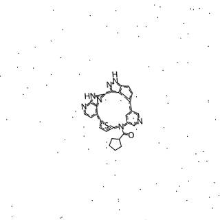 O=C(C1CCCC1)n1c2cncc(c2)c2ccc3[nH]nc(c4nc5c(nccc5c5ccc1s5)[nH]4)c3c2